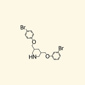 Brc1ccc(OCC2CNCC(COc3cccc(Br)c3)C2)cc1